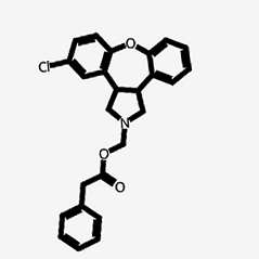 O=C(Cc1ccccc1)OCN1CC2c3ccccc3Oc3ccc(Cl)cc3C2C1